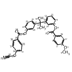 COc1ccc(C(=O)Oc2cccc(C(C)(C)c3cccc(OC(=O)c4ccc(OC#N)cc4)c3)c2)cc1